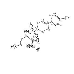 CCCC(NS(=O)(=O)N1CC=C(c2ccc(F)cc2)CC1)C(=O)NO